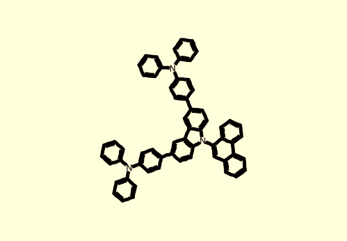 c1ccc(N(c2ccccc2)c2ccc(-c3ccc4c(c3)c3cc(-c5ccc(N(c6ccccc6)c6ccccc6)cc5)ccc3n4-c3cc4ccccc4c4ccccc34)cc2)cc1